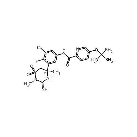 BC(B)(B)Oc1ccc(C(=O)Nc2cc(Cl)c(F)c([C@]3(C)CS(=O)(=O)N(C)C(=N)N3)c2)nc1